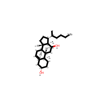 CC(C)CCCC(C)[C@H]1CC[C@H]2[C@@H]3CC=C4C[C@@H](O)CC[C@]4(C)[C@H]3CC(O)[C@]12C